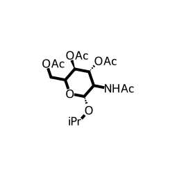 CC(=O)NC1[C@H](OC(C)C)OC(COC(C)=O)[C@@H](OC(C)=O)[C@@H]1OC(C)=O